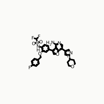 Nc1ncc(-c2cnn(C3CCOCC3)c2)c2occ(-c3ccc(NS(=O)(=O)C(F)F)c(OCc4ccc(F)cc4)c3)c12